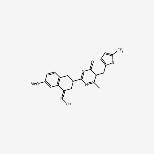 COc1ccc2c(c1)C(=NO)CN(c1nc(C)n(Cc3ccc(C(F)(F)F)s3)c(=O)n1)C2